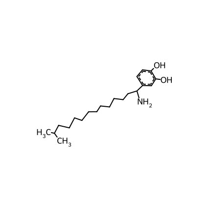 CC(C)CCCCCCCCCCCC(N)c1ccc(O)c(O)c1